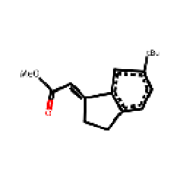 COC(=O)C=C1CCc2ccc(C(C)(C)C)cc21